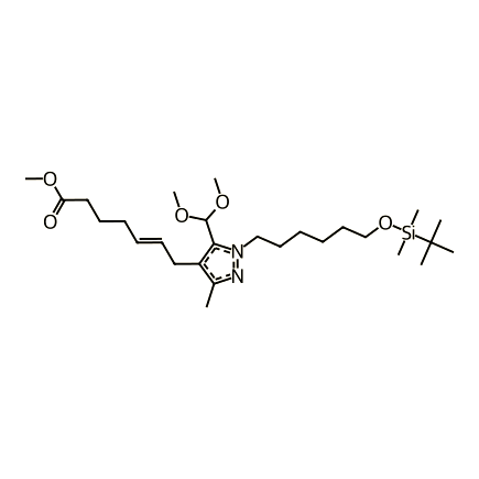 COC(=O)CCCC=CCc1c(C)nn(CCCCCCO[Si](C)(C)C(C)(C)C)c1C(OC)OC